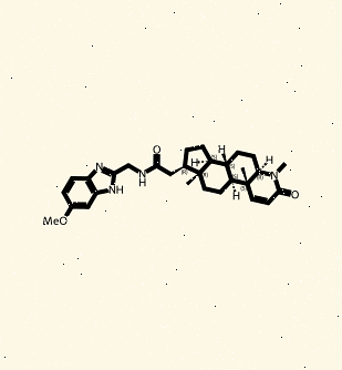 COc1ccc2nc(CNC(=O)C[C@H]3CC[C@H]4[C@@H]5CC[C@H]6N(C)C(=O)C=C[C@]6(C)[C@H]5CC[C@]34C)[nH]c2c1